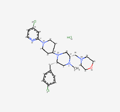 CN1C[C@H](Cc2ccc(Cl)cc2)N(C2CCN(c3cc(Cl)ccn3)CC2)C[C@@H]1CN1CCOCC1.Cl